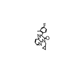 Cc1cc(F)ccc1C1N=C2C=CC=NC2N(CC2CC2)C1=O